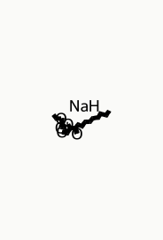 CCCCCCCCCC(=O)C(C=O)OS(=O)OCC.[NaH]